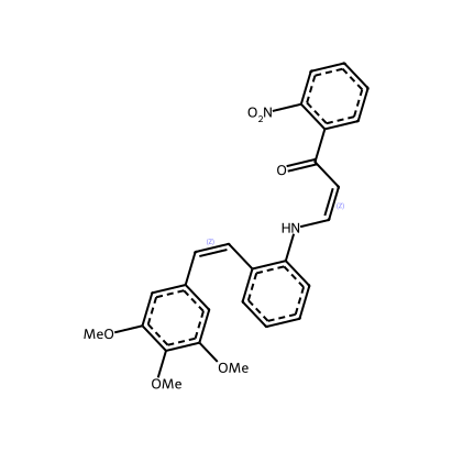 COc1cc(/C=C\c2ccccc2N/C=C\C(=O)c2ccccc2[N+](=O)[O-])cc(OC)c1OC